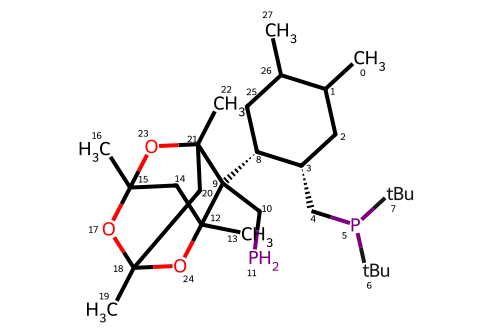 CC1C[C@H](CP(C(C)(C)C)C(C)(C)C)[C@H](C2(CP)C3(C)CC4(C)OC(C)(CC2(C)O4)O3)CC1C